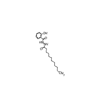 CCCCCCCCCCCC(=O)NNC(=O)c1ccccc1O